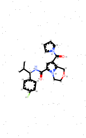 CC(C)[C@@H](NC(=O)c1cc(C(=O)n2cccc2)c2n1CCOC2)c1ccc(F)cc1